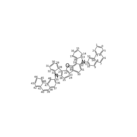 c1ccc2c(c1)ccc1ccc(-n3c4ccccc4c4c5oc6c(ccc7c6c6ccccc6n7-c6ccc7ccc8ccccc8c7c6)c5ccc43)cc12